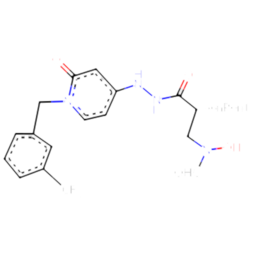 CCCCC[C@H](CN(O)C=O)C(=O)NNc1ccn(Cc2cccc(C(F)(F)F)c2)c(=O)c1